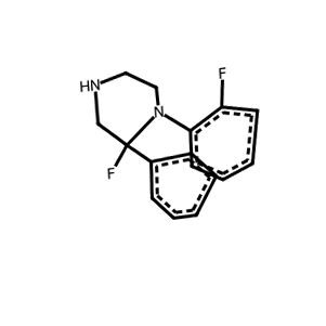 Fc1ccccc1N1CCNCC1(F)c1ccccc1